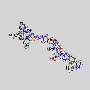 Cc1ncsc1-c1ccc(CNC(=O)[C@@H]2C[C@@H](O)CN2C(=O)[C@@H](C(C)C)n2cc(Oc3ccc(CNC(=O)C[C@@H]4N=C(c5ccc(Cl)cc5)c5c(sc(C)c5C)-n5c(C)nnc54)cc3)cn2)cc1